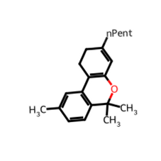 CCCCCC1=CC2=C(CC1)c1cc(C)ccc1C(C)(C)O2